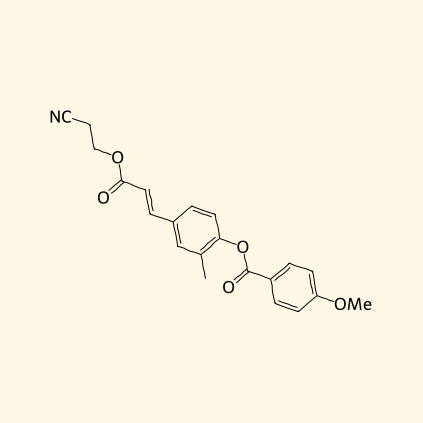 COc1ccc(C(=O)Oc2ccc(/C=C/C(=O)OCCC#N)cc2C)cc1